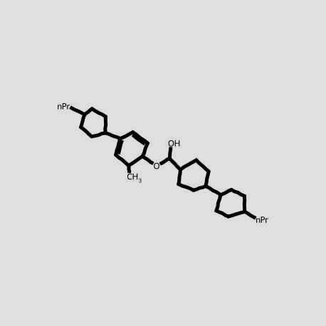 CCCC1CCC(C2=CC(C)C(OC(O)C3CCC(C4CCC(CCC)CC4)CC3)C=C2)CC1